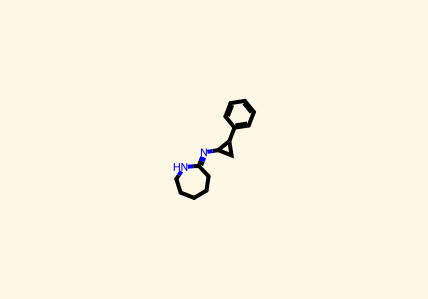 c1ccc(C2CC2N=C2CCCCCN2)cc1